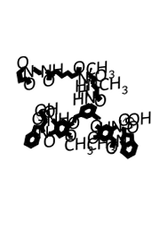 COc1cc2c(cc1OCc1cc(COc3cc4c(cc3OC)C(=O)N3c5ccccc5CC3[C@@H](S(=O)(=O)O)N4)cc(NC(=O)[C@H](C)NC(=O)[C@H](C)NC(=O)CCCCC(=O)NCCN3C(=O)C=CC3=O)c1)NC(S(=O)(=O)O)C1Cc3ccccc3N1C2=O